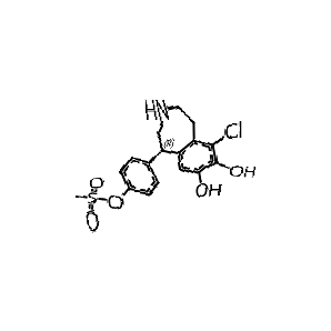 CS(=O)(=O)Oc1ccc([C@H]2CNCCc3c2cc(O)c(O)c3Cl)cc1